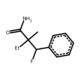 CCC(C)(C(N)=O)C(F)c1ccccc1